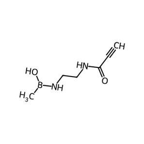 C#CC(=O)NCCNB(C)O